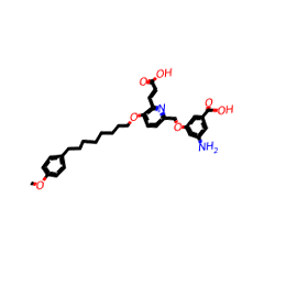 COc1ccc(CCCCCCCCOc2ccc(COc3cc(N)cc(C(=O)O)c3)nc2C=CC(=O)O)cc1